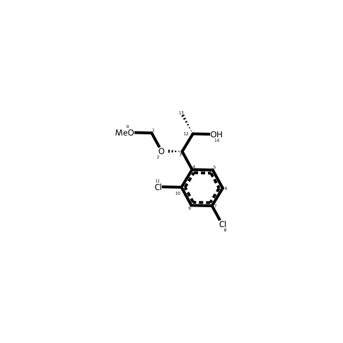 COCO[C@@H](c1ccc(Cl)cc1Cl)[C@H](C)O